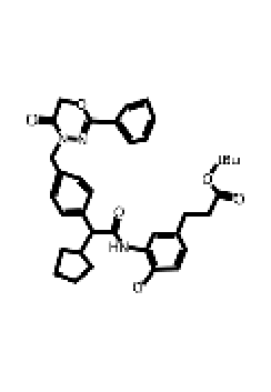 CC(C)(C)OC(=O)CCc1ccc(Cl)c(NC(=O)C(c2ccc(CN3N=C(c4ccccc4)OCC3=O)cc2)C2CCCC2)c1